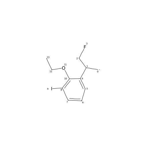 [CH2]C(CF)c1cccc(I)c1OCC